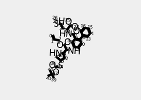 C=CCOC(=O)C(Nc1ccc(-c2ccccc2)c(C(=O)N[C@@H](CCSC)C(=O)O)c1)C1CC(SC(=O)OC(C)(C)C)CN1